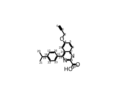 C#CCOc1ccc2nc(C(=O)O)nc(-c3ccc(C(C)C)cc3)c2c1